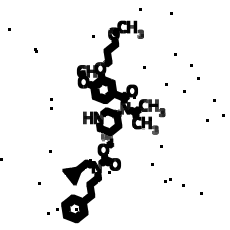 COCCCOc1cc(C(=O)N(C(C)C)[C@H]2CNC[C@@H](COC(=O)N(CCCc3ccccc3)CC3CC3)C2)ccc1OC